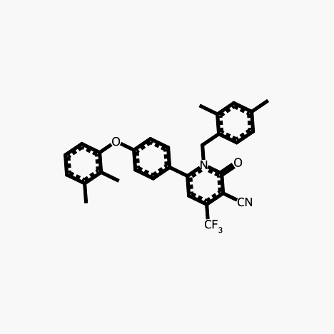 Cc1ccc(Cn2c(-c3ccc(Oc4cccc(C)c4C)cc3)cc(C(F)(F)F)c(C#N)c2=O)c(C)c1